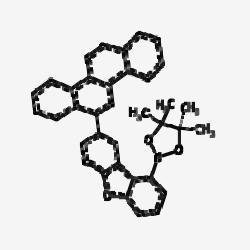 CC1(C)OB(c2cccc3oc4ccc(-c5cc6c7ccccc7ccc6c6ccccc56)cc4c23)OC1(C)C